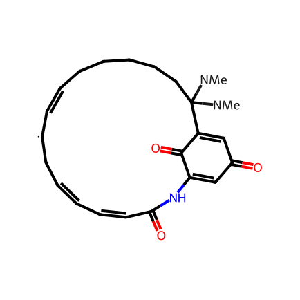 CNC1(NC)CCCCC/C=C\[CH]C/C=C\C=C/C(=O)NC2=CC(=O)C=C1C2=O